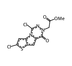 COC(=O)Cn1nc(Cl)n2c(cc3sc(Cl)cc32)c1=O